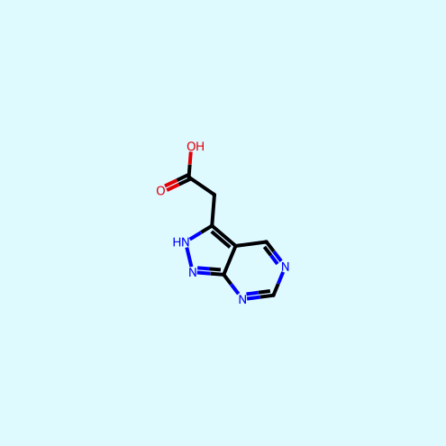 O=C(O)Cc1[nH]nc2ncncc12